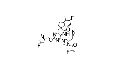 C=C(F)C(=O)N1CCN(c2nc(OC[C@@H]3CC(F)CN3C)nc3c2NC(=O)C2(CCc4c2ccc(F)c4C)C3)CC1CC#N